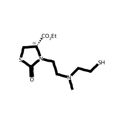 CCOC(=O)[C@H]1CSC(=O)N1CCN(C)CCS